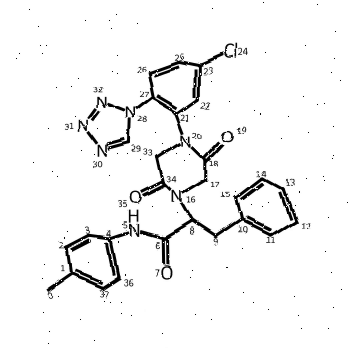 Cc1ccc(NC(=O)C(Cc2ccccc2)N2CC(=O)N(c3cc(Cl)ccc3-n3cnnn3)CC2=O)cc1